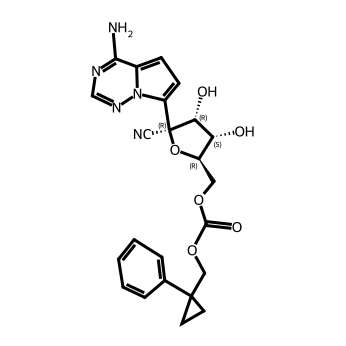 N#C[C@@]1(c2ccc3c(N)ncnn23)O[C@H](COC(=O)OCC2(c3ccccc3)CC2)[C@@H](O)[C@H]1O